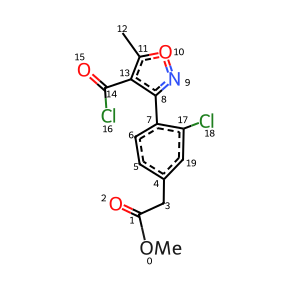 COC(=O)Cc1ccc(-c2noc(C)c2C(=O)Cl)c(Cl)c1